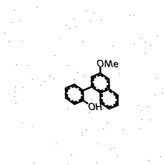 COc1cc(-c2ccccc2O)c2ccccc2c1